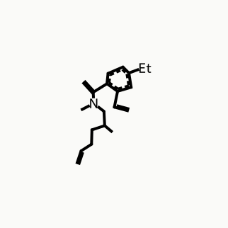 C=CCCC(C)CN(C)C(=C)c1ccc(CC)cc1C=C